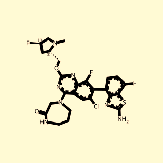 CN1C[C@H](F)C[C@H]1COc1nc(N2CCCNC(=O)C2)c2cc(Cl)c(-c3ccc(F)c4sc(N)nc34)c(F)c2n1